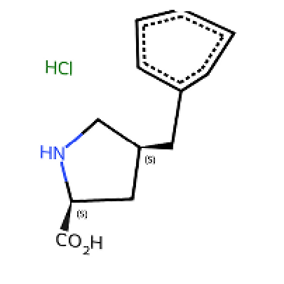 Cl.O=C(O)[C@@H]1C[C@H](Cc2ccccc2)CN1